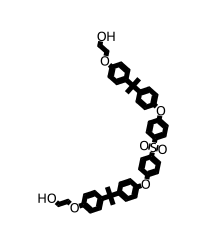 CC(C)(c1ccc(OCCO)cc1)c1ccc(Oc2ccc(S(=O)(=O)c3ccc(Oc4ccc(C(C)(C)c5ccc(OCCO)cc5)cc4)cc3)cc2)cc1